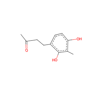 CC(=O)CCc1ccc(O)c(C)c1O